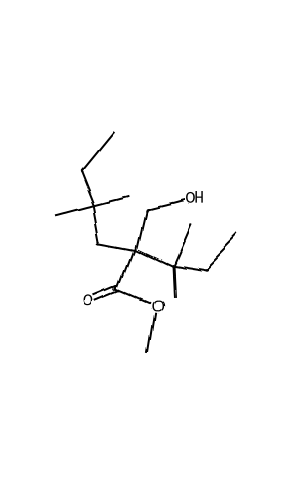 CCC(C)(C)CC(CO)(C(=O)OC)C(C)(C)CC